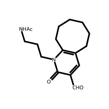 CC(=O)NCCCn1c2c(cc(C=O)c1=O)CCCCCC2